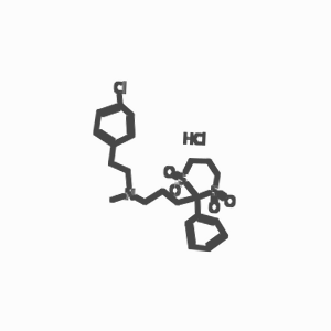 CN(CCCC1(c2ccccc2)S(=O)(=O)CCCS1(=O)=O)CCc1ccc(Cl)cc1.Cl